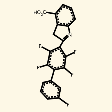 O=C(O)c1cccc2c1CC(c1c(F)c(F)c(-c3cccc(F)c3)c(F)c1F)=N2